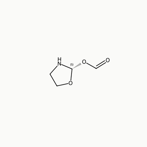 O=CO[C@H]1NCCO1